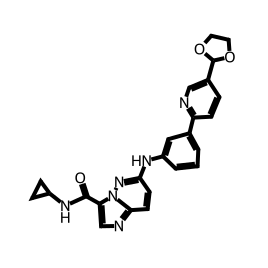 O=C(NC1CC1)c1cnc2ccc(Nc3cccc(-c4ccc(C5OCCO5)cn4)c3)nn12